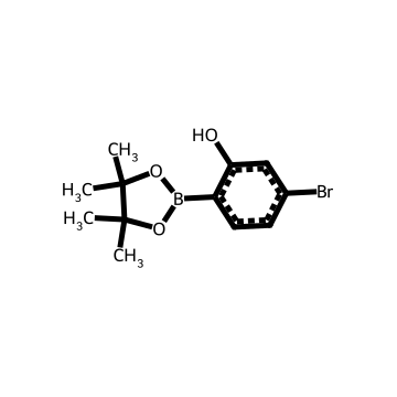 CC1(C)OB(c2ccc(Br)cc2O)OC1(C)C